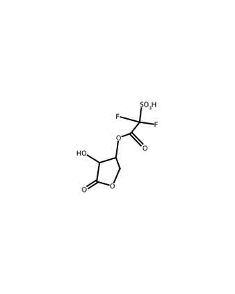 O=C1OCC(OC(=O)C(F)(F)S(=O)(=O)O)C1O